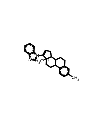 Cc1ccc2c(c1)CCC1C2CC[C@]2(C)C(n3cnc4ccccc43)=CCC12